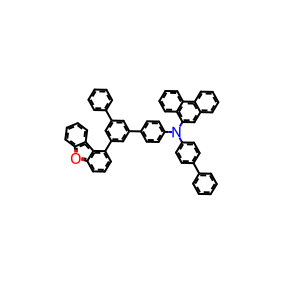 c1ccc(-c2ccc(N(c3ccc(-c4cc(-c5ccccc5)cc(-c5cccc6oc7ccccc7c56)c4)cc3)c3cc4ccccc4c4ccccc34)cc2)cc1